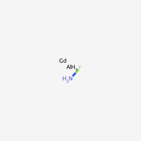 NF.[AlH3].[Gd]